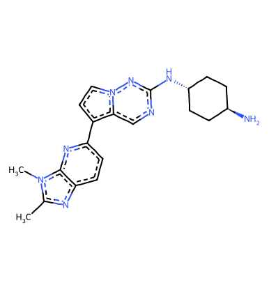 Cc1nc2ccc(-c3ccn4nc(N[C@H]5CC[C@H](N)CC5)ncc34)nc2n1C